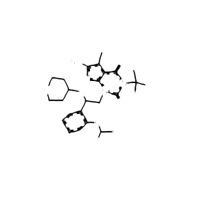 Cc1c(C#N)sc2c1c(=O)n(C(C)(C)C(=O)O)c(=O)n2CC(OC1CCOCC1)c1ccccc1OC(F)F